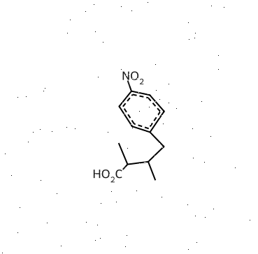 CC(Cc1ccc([N+](=O)[O-])cc1)C(C)C(=O)O